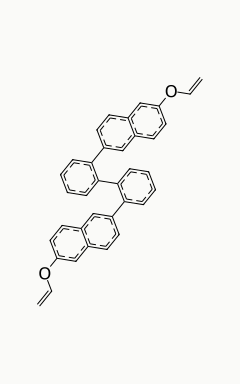 C=COc1ccc2cc(-c3ccccc3-c3ccccc3-c3ccc4cc(OC=C)ccc4c3)ccc2c1